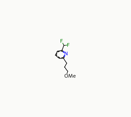 COCCCc1cccc(C(F)F)n1